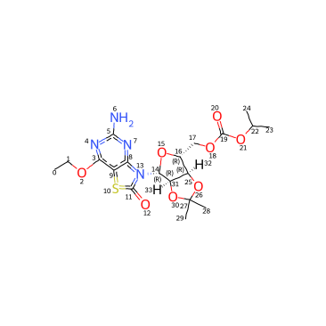 CCOc1nc(N)nc2c1sc(=O)n2[C@@H]1O[C@H](COC(=O)OC(C)C)[C@H]2OC(C)(C)O[C@H]21